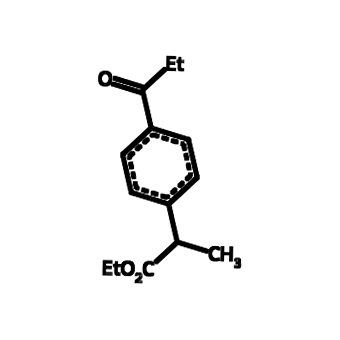 CCOC(=O)C(C)c1ccc(C(=O)CC)cc1